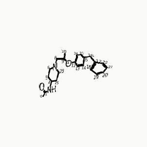 CC(=O)NC1CCN(CC(C)Oc2ccc(Cc3ccccc3)cc2)CC1